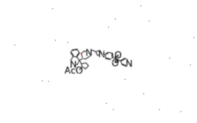 CC(=O)OC1CCCC1C1(C2CCN(CC3CN(c4ccc(S(=O)(=O)c5ccncc5)cc4)C3)CC2)CN(C)Cc2ccccc21